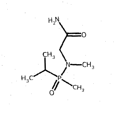 CC(C)P(C)(=O)N(C)CC(N)=O